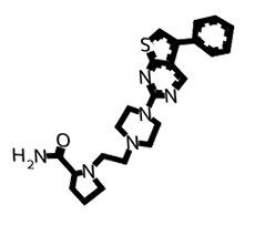 NC(=O)C1CCCN1CCN1CCN(c2ncc3c(-c4ccccc4)csc3n2)CC1